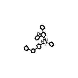 c1ccc(-c2cccc(-c3ccc(-c4nc(-c5ccccc5)nc(-c5ccc(-c6ccccc6)c6oc7ccccc7c56)n4)cc3)c2)cc1